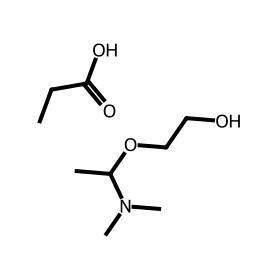 CC(OCCO)N(C)C.CCC(=O)O